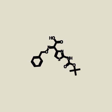 CC(C)(C)OC(=O)Nc1nc(/C(=N\OCc2ccccc2)C(=O)O)cs1